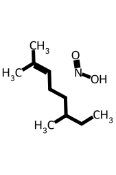 CCC(C)CCC=C(C)C.O=NO